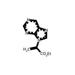 C=C(C(=O)OCC)n1cnc2cncnc21